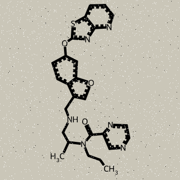 CCCN(C(=O)c1cnccn1)C(C)CNCc1coc2cc(Oc3nc4ncccc4s3)ccc12